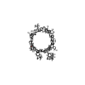 CCO[C@@H]1C[C@H]2C(=O)NC3(CCC3)C(=O)N(C)[C@@H](C3CCCC3)C(=O)N(C)[C@H](C(=O)N(C)C)CC(=O)N(C)[C@@H](CCC(F)F)C(=O)N[C@@H]([C@@H](C)CC)C(=O)N(C)CC(=O)N(C)[C@H]3C/C=C\CCN(C3=O)[C@@H](Cc3ccc(C(F)(F)F)cc3)C(=O)N(C)CC(=O)N[C@@H](CCc3cc(F)c(C(F)(F)F)c(F)c3)C(=O)N2C1